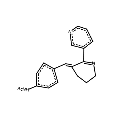 CC(=O)Nc1ccc(C=C2CCCN=C2c2cccnc2)cc1